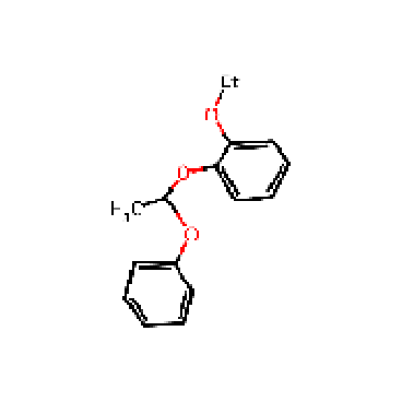 CCOc1ccccc1OC(C)Oc1ccccc1